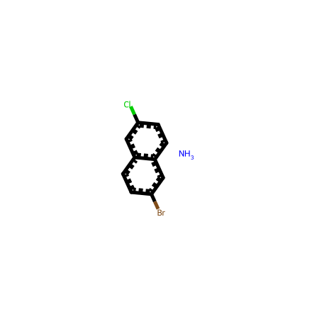 Clc1ccc2cc(Br)ccc2c1.N